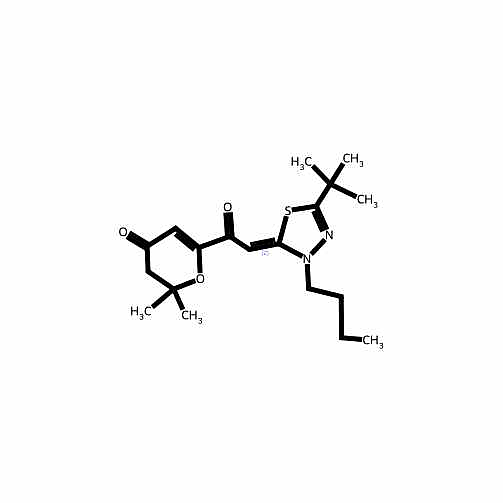 CCCCN1N=C(C(C)(C)C)S/C1=C\C(=O)C1=CC(=O)CC(C)(C)O1